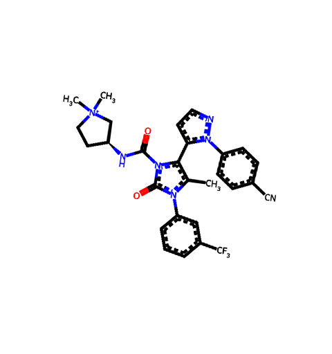 Cc1c(-c2ccnn2-c2ccc(C#N)cc2)n(C(=O)N[C@H]2CC[N+](C)(C)C2)c(=O)n1-c1cccc(C(F)(F)F)c1